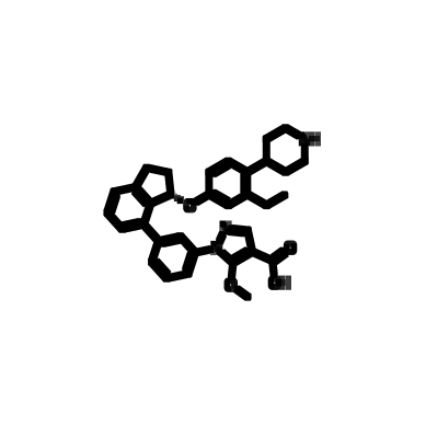 CCc1cc(O[C@H]2CCc3cccc(-c4cccc(-n5ncc(C(=O)O)c5OC)c4)c32)ccc1C1CCNCC1